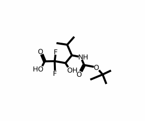 CC(C)C(NC(=O)OC(C)(C)C)C(O)C(F)(F)C(=O)O